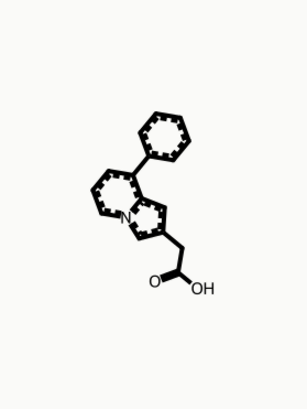 O=C(O)Cc1cc2c(-c3ccccc3)cccn2c1